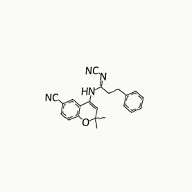 CC1(C)C=C(N/C(CCc2ccccc2)=N\C#N)c2cc(C#N)ccc2O1